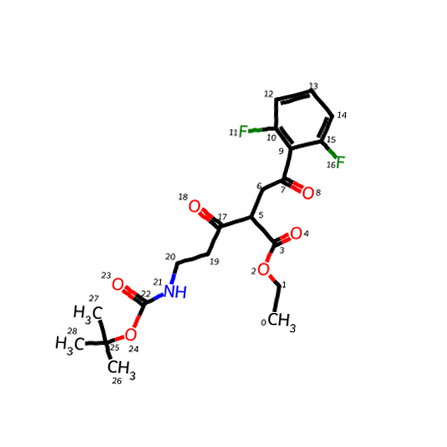 CCOC(=O)C(CC(=O)c1c(F)cccc1F)C(=O)CCNC(=O)OC(C)(C)C